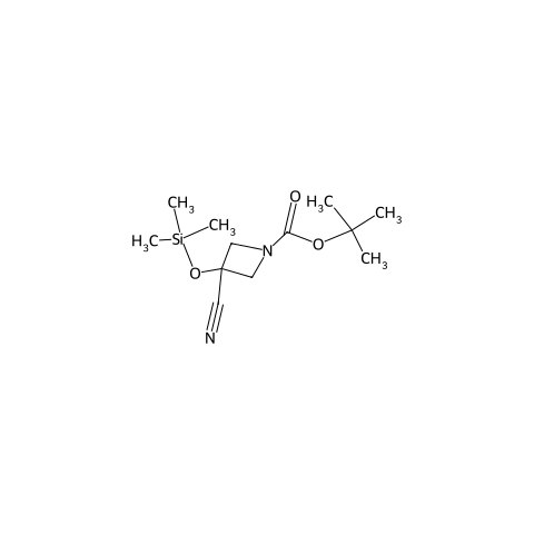 CC(C)(C)OC(=O)N1CC(C#N)(O[Si](C)(C)C)C1